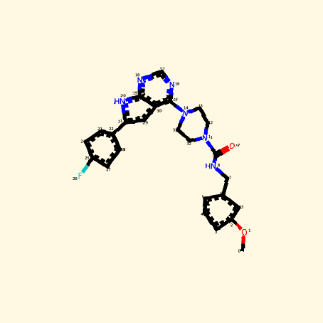 COc1cccc(CNC(=O)N2CCN(c3ncnc4[nH]c(-c5ccc(F)cc5)cc34)CC2)c1